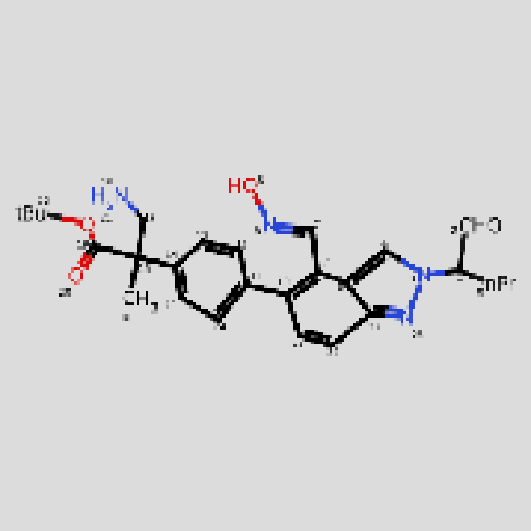 CCCC(C=O)n1cc2c(C=NO)c(-c3ccc(C(C)(CN)C(=O)OC(C)(C)C)cc3)ccc2n1